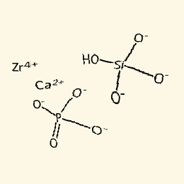 O=P([O-])([O-])[O-].[Ca+2].[O-][Si]([O-])([O-])O.[Zr+4]